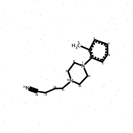 Cc1ccccc1N1CCN(CCCC#N)CC1